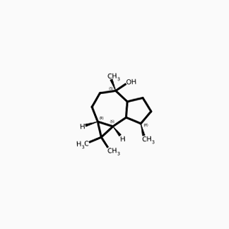 C[C@@H]1CCC2C1[C@H]1[C@@H](CC[C@]2(C)O)C1(C)C